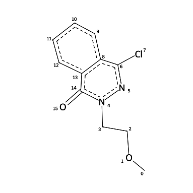 COCCn1nc(Cl)c2ccccc2c1=O